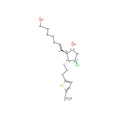 O=C(O)c1ccc(CCC[C@@H]2[C@@H](C=CCCCCCO)[C@H](O)C[C@H]2Cl)s1